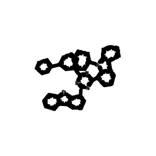 c1ccc(-c2cccc(-c3nc(-c4cccc5c4oc4ccccc45)nc(-c4cccc5c6ccccc6n(-c6ccccc6)c45)n3)c2)cc1